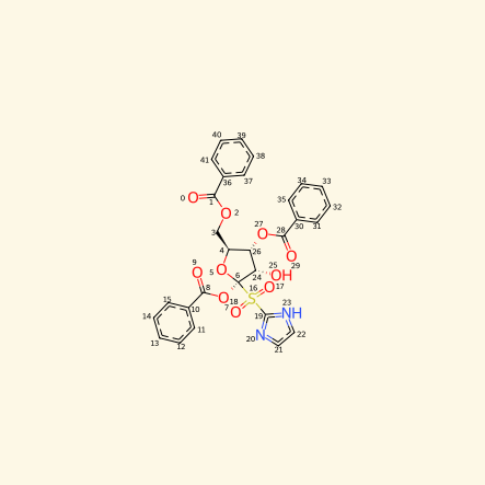 O=C(OC[C@@H]1O[C@](OC(=O)c2ccccc2)(S(=O)(=O)c2ncc[nH]2)[C@@H](O)[C@H]1OC(=O)c1ccccc1)c1ccccc1